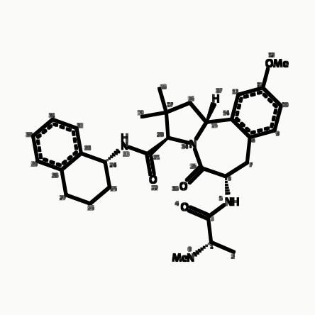 CN[C@@H](C)C(=O)N[C@H]1Cc2ccc(OC)cc2[C@H]2CC(C)(C)[C@H](C(=O)N[C@@H]3CCCc4ccccc43)N2C1=O